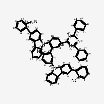 N#Cc1ccccc1-c1ccc2c(c1)c1ccccc1n2-c1ccc(C#N)c(-c2cc(-c3nc(-c4ccccc4)nc(-c4ccccc4)n3)ccc2-n2c3ccccc3c3cc(-c4ccccc4C#N)ccc32)c1